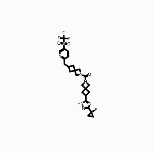 O=C(N1CC2(CC(Cc3ccc(S(=O)(=O)C(F)(F)F)cn3)C2)C1)N1CC2(CC(c3nc(C4(F)CC4)n[nH]3)C2)C1